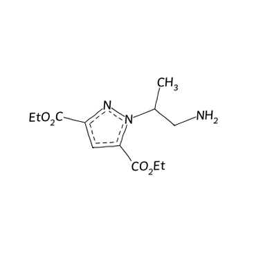 CCOC(=O)c1cc(C(=O)OCC)n(C(C)CN)n1